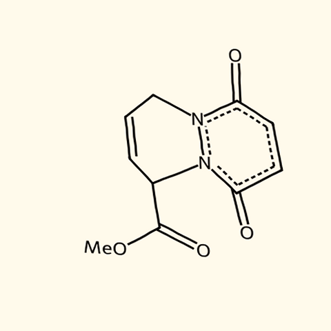 COC(=O)C1C=CCn2c(=O)ccc(=O)n21